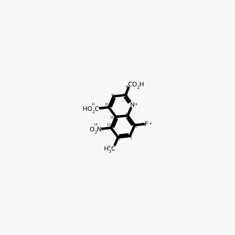 Cc1cc(F)c2nc(C(=O)O)cc(C(=O)O)c2c1[N+](=O)[O-]